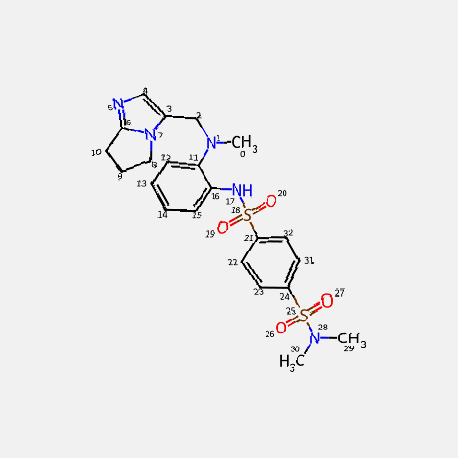 CN(Cc1cnc2n1CCC2)c1ccccc1NS(=O)(=O)c1ccc(S(=O)(=O)N(C)C)cc1